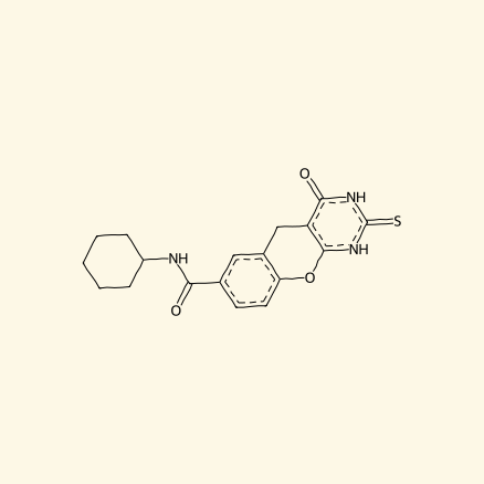 O=C(NC1CCCCC1)c1ccc2c(c1)Cc1c([nH]c(=S)[nH]c1=O)O2